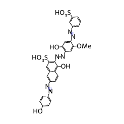 COc1cc(N=Nc2c(S(=O)(=O)O)cc3cc(/N=N/c4ccc(O)cc4)ccc3c2O)c(O)cc1/N=N/c1cccc(S(=O)(=O)O)c1